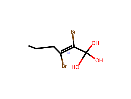 CCC/C(Br)=C(\Br)C(O)(O)O